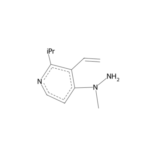 C=Cc1c(N(C)N)ccnc1C(C)C